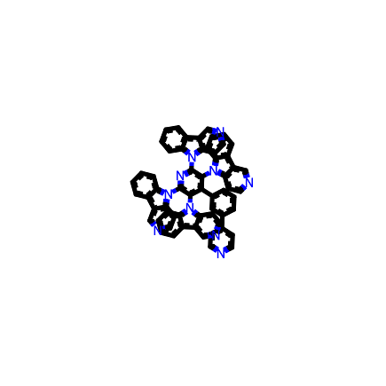 c1cc(-c2ccncc2)cc(-c2c(-n3c4ccccc4c4cnccc43)c(-n3c4ccccc4c4cnccc43)nc(-n3c4ccccc4c4cnccc43)c2-n2c3ccccc3c3cnccc32)c1